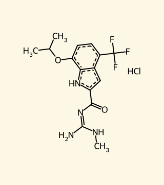 CNC(N)=NC(=O)c1cc2c(C(F)(F)F)ccc(OC(C)C)c2[nH]1.Cl